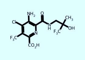 CC(O)(CNC(=O)c1nc(C(=O)O)c(C(F)(F)F)c(Cl)c1N)C(F)(F)F